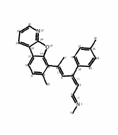 C/N=C/C=C(\C=C(/C)c1c(C)ccc2c1oc1ncccc12)c1ccc(C)cc1